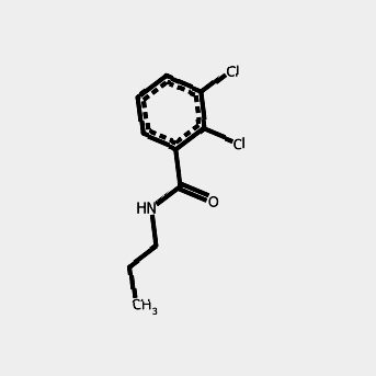 CCCNC(=O)c1cccc(Cl)c1Cl